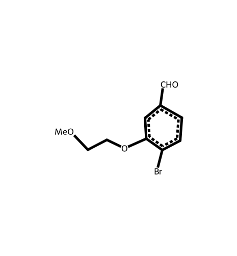 COCCOc1cc(C=O)ccc1Br